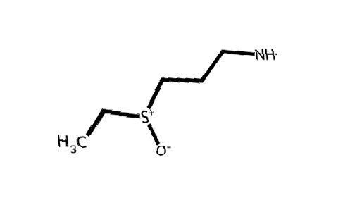 CC[S+]([O-])CCC[NH]